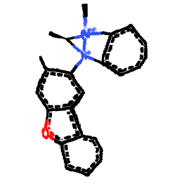 Cc1cc2oc3ccccc3c2cc1[N+]12c3ccccc3[N@@+]1(C)[C@@H]2C